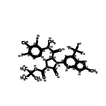 Cc1nc2c(C(F)(F)F)cc(N3C(=O)N(C(=O)OC(C)(C)C)C[C@H]3C(=O)N(C)c3ccc(F)c(Cl)c3F)nc2s1